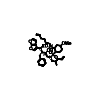 C=CCCCCOC1CC(OC)CCC1S(=O)(=O)N(CC(C)CC=C)C[C@@H](O)[C@H](Cc1ccccc1)N(C(=O)O)c1coc2occc12